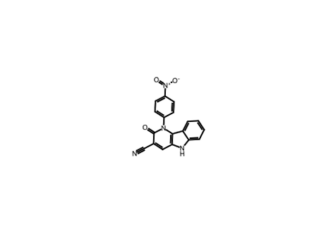 N#Cc1cc2[nH]c3ccccc3c2n(-c2ccc([N+](=O)[O-])cc2)c1=O